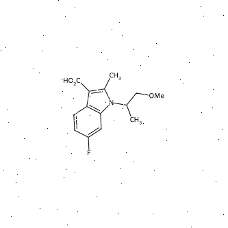 COCC(C)n1c(C)c(C(=O)O)c2ccc(F)cc21